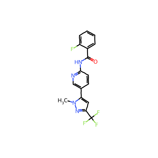 Cn1nc(C(F)(F)F)cc1-c1ccc(NC(=O)c2ccccc2F)nc1